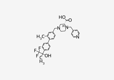 Cc1cc(CN2CCN(Cc3ccncc3)[C@@H](C(=O)O)C2)ccc1-c1ccc(C(C)(O)C(F)(F)F)cc1